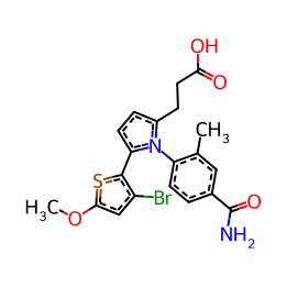 COc1cc(Br)c(-c2ccc(CCC(=O)O)n2-c2ccc(C(N)=O)cc2C)s1